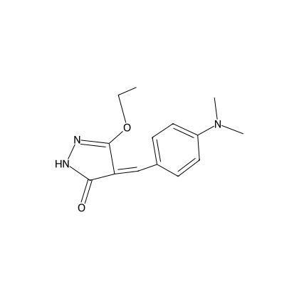 CCOC1=NNC(=O)C1=Cc1ccc(N(C)C)cc1